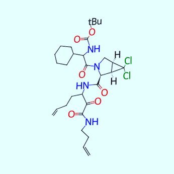 C=CCCNC(=O)C(=O)C(CCC=C)NC(=O)[C@@H]1[C@H]2[C@@H](CN1C(=O)C(NC(=O)OC(C)(C)C)C1CCCCC1)C2(Cl)Cl